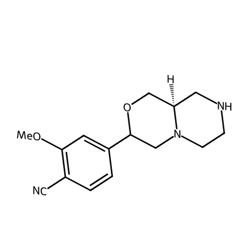 COc1cc(C2CN3CCNC[C@@H]3CO2)ccc1C#N